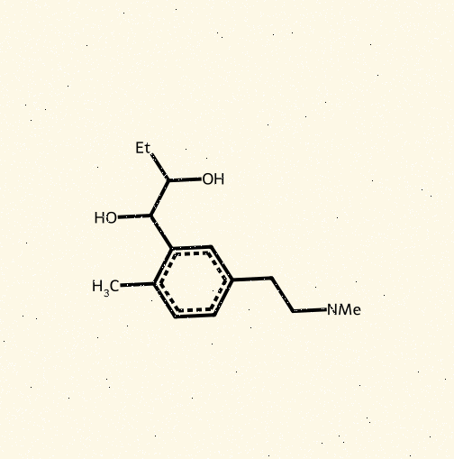 CCC(O)C(O)c1cc(CCNC)ccc1C